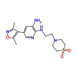 Cc1noc(C)c1-c1cnc(NCCN2CCS(=O)(=O)CC2)c(N)c1